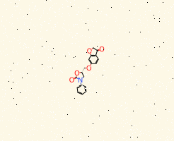 O=C1COc2cc(OC[C@@H]3CN(c4ccccc4)C(=O)O3)ccc21